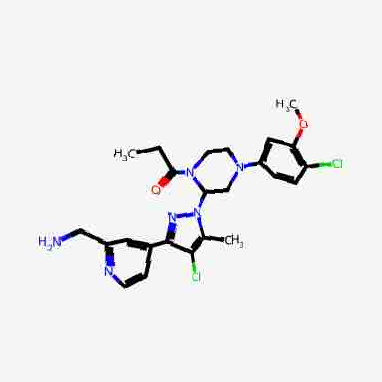 CCC(=O)N1CCN(c2ccc(Cl)c(OC)c2)CC1n1nc(-c2ccnc(CN)c2)c(Cl)c1C